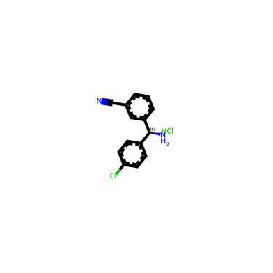 Cl.N#Cc1cccc([C@@H](N)c2ccc(Cl)cc2)c1